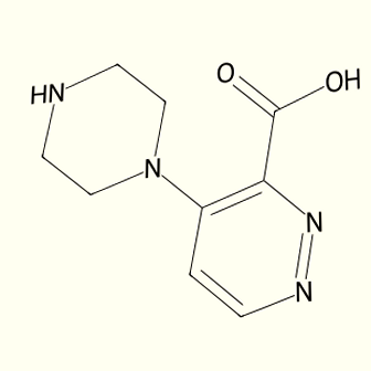 O=C(O)c1nnccc1N1CCNCC1